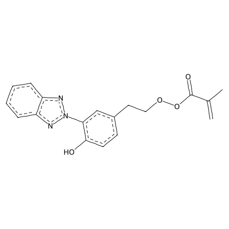 C=C(C)C(=O)OOCCc1ccc(O)c(-n2nc3ccccc3n2)c1